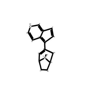 CN1C2C=C(c3ccc4coccc3-4)CC1CC2